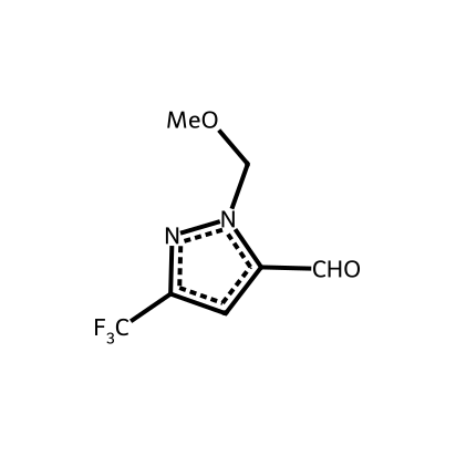 COCn1nc(C(F)(F)F)cc1C=O